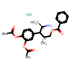 C[C@@H](COC(=O)c1ccccc1)C(c1ccc(OC(=O)C(C)(C)C)c(OC(=O)C(C)(C)C)c1)[C@H](N)C(=O)O.Cl